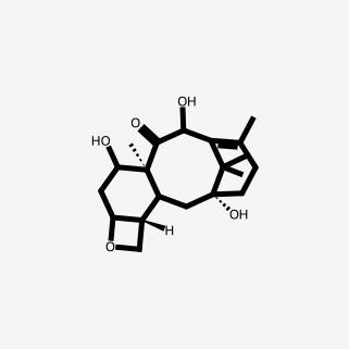 CC1=C2C(O)C(=O)[C@]3(C)C(O)CC4OC[C@H]4C3C[C@](O)(CC1)C2(C)C